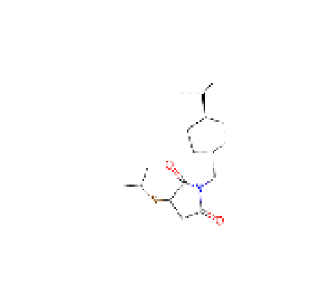 CC(C)SC1CC(=O)N(C[C@H]2CC[C@H](C(C)C)CC2)C1=O